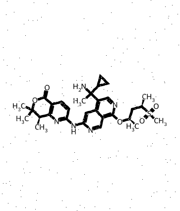 C[C@H](C[C@@H](C)S(C)(=O)=O)Oc1ncc(C(C)(N)C2CC2)c2cc(Nc3ccc4c(n3)[C@@H](C)C(C)(C)OC4=O)ncc12